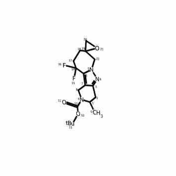 CC1Cc2nn3c(c2CN1C(=O)OC(C)(C)C)C(F)(F)CCC1(CO1)C3